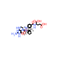 CC1(C)C2CCC1(C)C(OC(=O)N1c3c(nc(N)[nH]c3=O)NC[C@@H]1CNc1ccc(C(=O)NC(CCC(=O)O)C(=O)O)cc1)C2